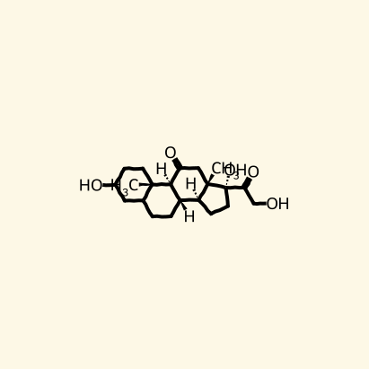 C[C@]12CCC(O)CC1CC[C@@H]1[C@@H]2C(=O)C[C@@]2(C)[C@H]1CC[C@]2(O)C(=O)CO